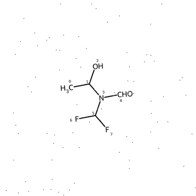 CC(O)N([C]=O)C(F)F